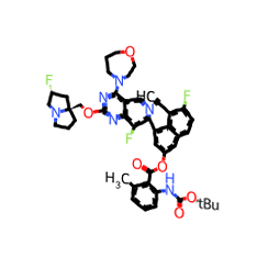 C#Cc1c(F)ccc2cc(OC(=O)c3c(C)cccc3NC(=O)OC(C)(C)C)cc(-c3ncc4c(N5CCCOCC5)nc(OC[C@@]56CCCN5C[C@H](F)C6)nc4c3F)c12